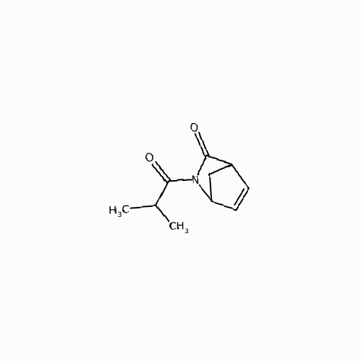 CC(C)C(=O)N1C(=O)C2C=CC1C2